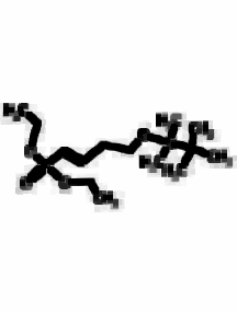 CCOP(=O)(C=CCCO[Si](C)(C)C(C)(C)C)OCC